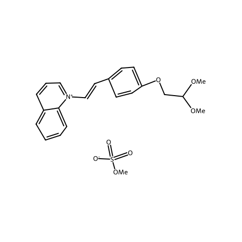 COC(COc1ccc(C=C[n+]2cccc3ccccc32)cc1)OC.COS(=O)(=O)[O-]